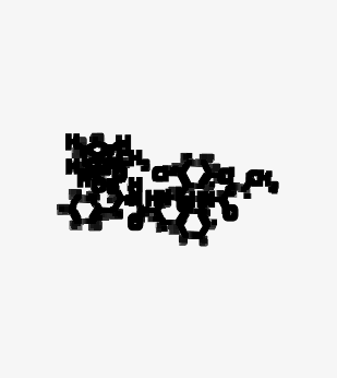 CC=CC(=O)Nc1cccc(CC(NC(=O)c2cc(Cl)ccc2Cl)C(=O)NC(Cc2ccccc2)B2O[C@@H]3C[C@@H]4C[C@@H](C4(C)C)[C@]3(C)O2)c1